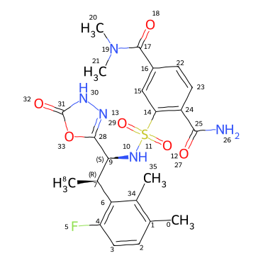 Cc1ccc(F)c([C@@H](C)[C@H](NS(=O)(=O)c2cc(C(=O)N(C)C)ccc2C(N)=O)c2n[nH]c(=O)o2)c1C